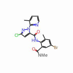 CNC(=O)c1cc(Br)cc(C)c1NC(=O)c1cc(Cl)nn1-c1ncccc1C